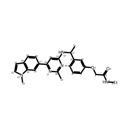 CCNC(=O)COc1cccc(C(C)Nc2cc(-c3ccc4ccn(C)c4c3)nc(C)n2)c1